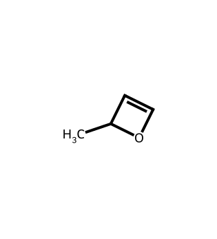 CC1C=CO1